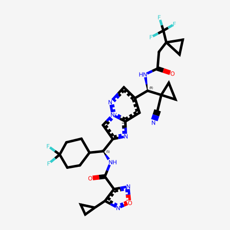 N#CC1([C@H](NC(=O)CC2(C(F)(F)F)CC2)c2cnn3cc([C@@H](NC(=O)c4nonc4C4CC4)C4CCC(F)(F)CC4)nc3c2)CC1